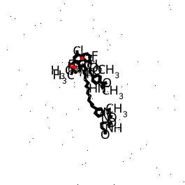 CNC(=O)c1ccc(N2C(=O)C3[C@H](c4cccc(F)c4Cl)[C@@](C#N)(c4ccc(Cl)cc4F)[C@H](CC(C)(C)C)N3C2CCCCCCCC#Cc2ccc3c(c2)n(C)c(=O)n3C2CCC(=O)NC2=O)c(OC)c1